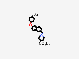 CCOC(=O)C1CCN(Cc2ccc3cc(OC4CCC(C(C)CC)CC4)ccc3c2)CC1